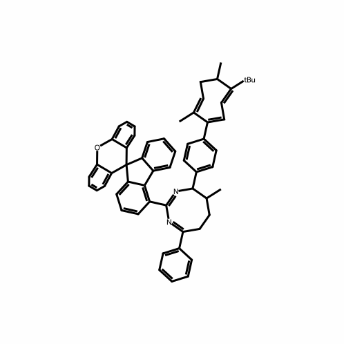 CC1=C\CC(C)/C(C(C)(C)C)=C/C=C\1c1ccc(C2/N=C(c3cccc4c3-c3ccccc3C43c4ccccc4Oc4ccccc43)\N=C(\c3ccccc3)CCC2C)cc1